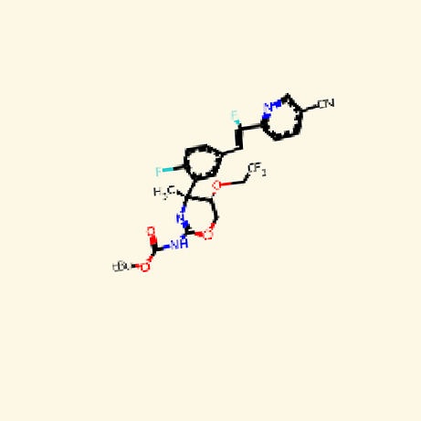 CC(C)(C)OC(=O)NC1=N[C@](C)(c2cc(/C=C(\F)c3ccc(C#N)cn3)ccc2F)[C@H](OCC(F)(F)F)CO1